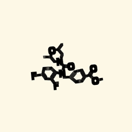 COC(=O)c1ccc(CN(C(=O)N2CC(C)OC(C)C2)c2ccc(F)cc2F)cc1